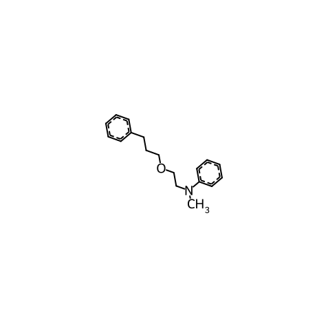 CN(CCOCCCc1ccccc1)c1ccccc1